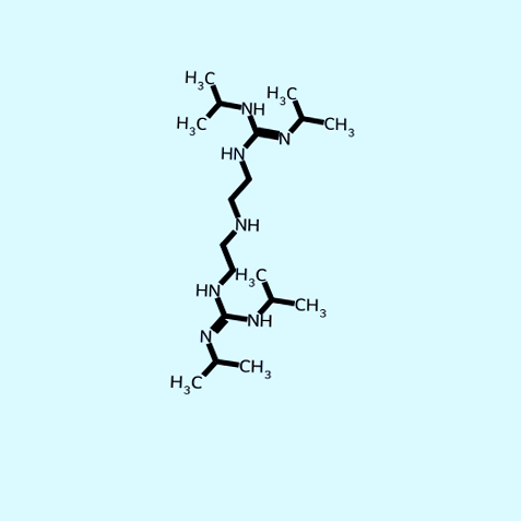 CC(C)N=C(NCCNCCNC(=NC(C)C)NC(C)C)NC(C)C